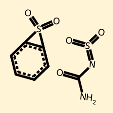 NC(=O)N=S(=O)=O.O=S1(=O)c2ccccc21